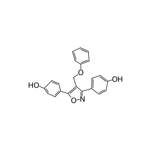 Oc1ccc(-c2noc(-c3ccc(O)cc3)c2COc2ccccc2)cc1